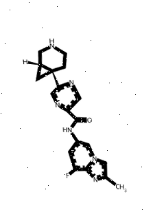 Cc1cn2cc(NC(=O)c3cnc([C@]45CCNC[C@H]4C5)cn3)cc(F)c2n1